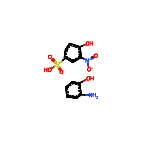 Nc1ccccc1O.O=[N+]([O-])c1cc(S(=O)(=O)O)ccc1O